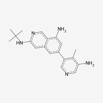 Cc1c(N)cncc1-c1cc(N)c2cnc(NC(C)(C)C)cc2c1